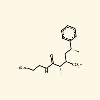 CCCCCCCCCCCCNC(=O)[C@@H](C)C(C[C@@H](C)c1ccccc1)C(=O)O